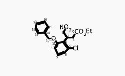 CCOC(=O)CC(C[N+](=O)[O-])c1c(Cl)cccc1OCc1ccccc1